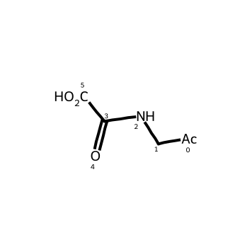 CC(=O)CNC(=O)C(=O)O